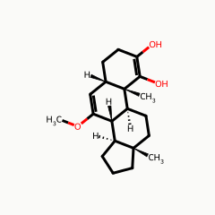 COC1=C[C@@H]2CCC(O)=C(O)[C@]2(C)[C@H]2CC[C@]3(C)CCC[C@H]3[C@H]12